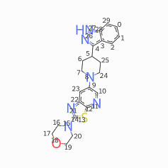 c1ccc2c(C3CCN(c4cnc5sc(N6CCOCC6)nc5c4)CC3)n[nH]c2c1